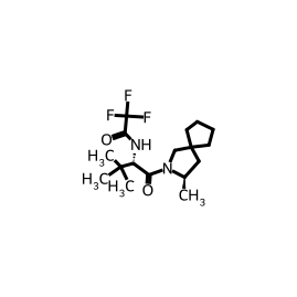 C[C@@H]1CC2(CCCC2)CN1C(=O)[C@@H](NC(=O)C(F)(F)F)C(C)(C)C